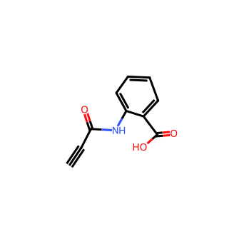 C#CC(=O)Nc1ccccc1C(=O)O